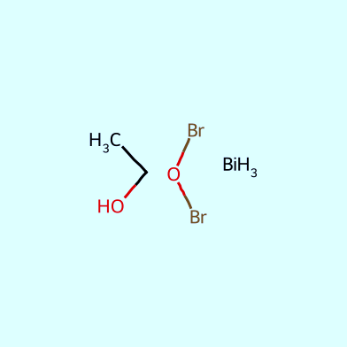 BrOBr.CCO.[BiH3]